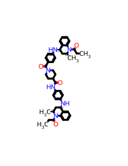 CCC(=O)N1c2ccccc2[C@H](Nc2ccc(NC(=O)C3CCN(C(=O)c4ccc(N[C@@H]5C[C@H](C)N(C(=O)CC)c6ccccc65)cc4)CC3)cc2)C[C@@H]1C